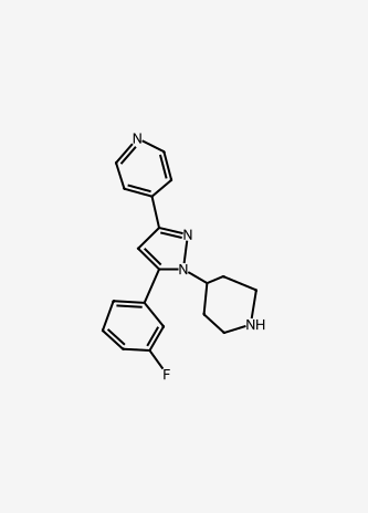 Fc1cccc(-c2cc(-c3ccncc3)nn2C2CCNCC2)c1